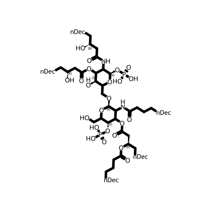 CCCCCCCCCCCCCC(=O)NC1C(OC(=O)C[C@@H](CCCCCCCCCCC)OC(=O)CCCCCCCCCCCCC)[C@H](OP(=O)(O)O)C(CO)O[C@H]1OCC1O[C@H](OP(=O)(O)O)C(NC(=O)C[C@H](O)CCCCCCCCCCC)C(OC(=O)C[C@H](O)CCCCCCCCCCC)[C@@H]1O